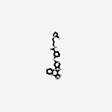 Nc1nonc1-c1nc2cnc(Oc3cccc(C(=O)NCCCN4CCCC4=O)c3)cc2n1-c1ccccc1